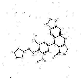 COc1cc(C2C3=C(COC3=O)Cc3cc4c(cc32)OCO4)cc(OC)c1OCC1CCCC1